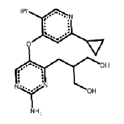 CC(C)c1cnc(C2CC2)cc1Oc1cnc(N)nc1CC(CO)CO